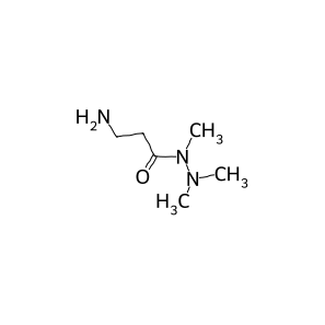 CN(C)N(C)C(=O)CCN